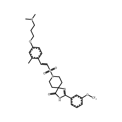 Cc1cc(OCCCN(C)C)ccc1C=CS(=O)(=O)N1CCC2(CC1)N=C(c1cccc(OC(F)(F)F)c1)NC2=O